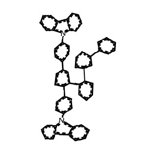 c1ccc(-c2cccc(-c3ccccc3-c3cc(-c4ccc(-n5c6ccccc6c6ccccc65)cc4)ccc3-c3ccc(-n4c5ccccc5c5ccccc54)cc3)c2)cc1